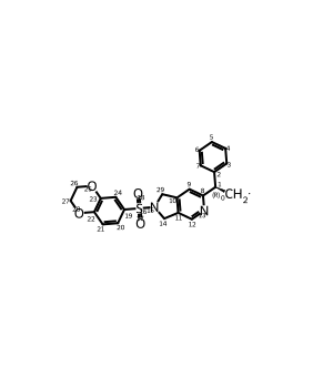 [CH2][C@H](c1ccccc1)c1cc2c(cn1)CN(S(=O)(=O)c1ccc3c(c1)OCCO3)C2